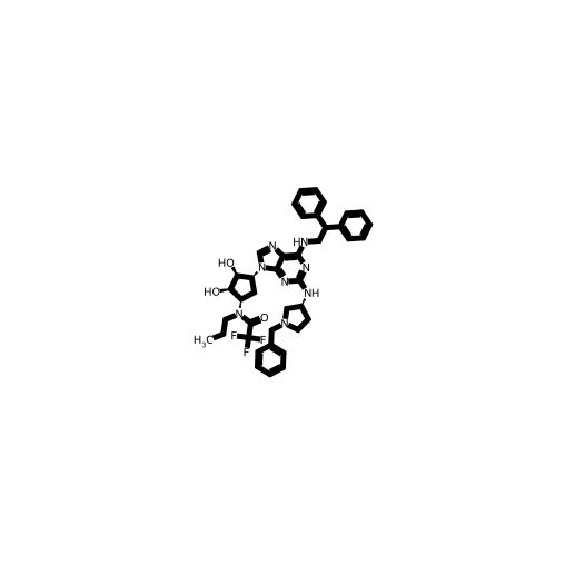 CCCN(C(=O)C(F)(F)F)[C@H]1C[C@@H](n2cnc3c(NCC(c4ccccc4)c4ccccc4)nc(N[C@@H]4CCN(Cc5ccccc5)C4)nc32)[C@H](O)[C@@H]1O